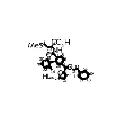 CSCCC(NC(=O)c1ccc(C(OCCc2ccccc2)c2ccco2)cc1-c1ccccc1C)C(=O)O.[LiH]